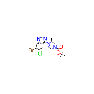 C[C@H]1CN(C(=O)OC(C)(C)C)CCN1c1ncnc2cc(Br)c(Cl)cc12